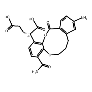 NC(=O)c1ccc([C@H](CCC(=O)O)C(=O)O)c2c1OCCCc1cc(N)ccc1C(=O)O2